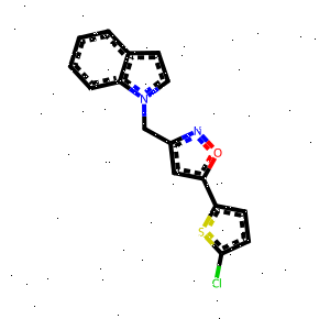 Clc1ccc(-c2cc(Cn3ccc4ccccc43)no2)s1